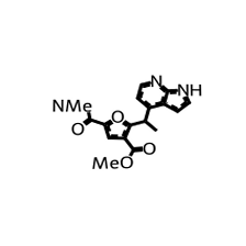 CNC(=O)c1cc(C(=O)OC)c(C(C)c2ccnc3[nH]ccc23)o1